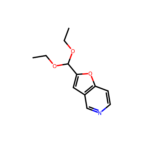 CCOC(OCC)c1cc2cnccc2o1